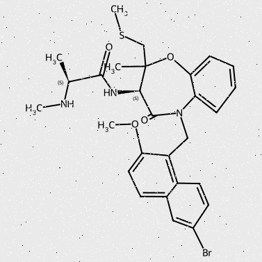 CN[C@@H](C)C(=O)N[C@@H]1C(=O)N(Cc2c(OC)ccc3cc(Br)ccc23)c2ccccc2OC1(C)CSC